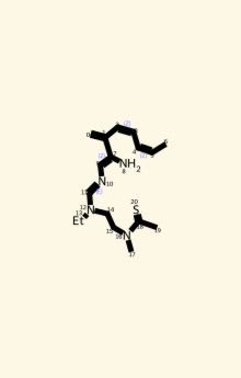 C=C(/C=C\C=C/C)/C(N)=C/N=C/N(CC)CCN(C)C(C)=S